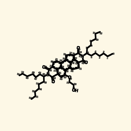 CCCCCCC(CCCCCC)N1C(=O)c2ccc3c4ccc5c6c(cc(OCCO)c(c7ccc(c2c37)C1=O)c64)C(=O)N(C(CCCCCC)CCCCCC)C5=O